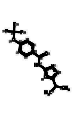 CC(C)c1nnc(NC(=O)c2ccc(OC(F)(F)F)cc2)o1